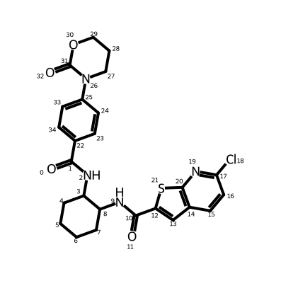 O=C(NC1CCCCC1NC(=O)c1cc2ccc(Cl)nc2s1)c1ccc(N2CCCOC2=O)cc1